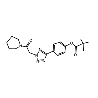 CC(C)(C)C(=O)Oc1ccc(-c2nnn(CC(=O)N3CCCCC3)n2)cc1